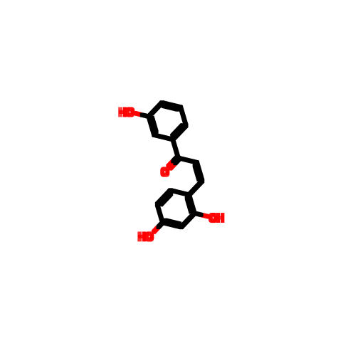 O=C(/C=C\c1ccc(O)cc1O)c1cccc(O)c1